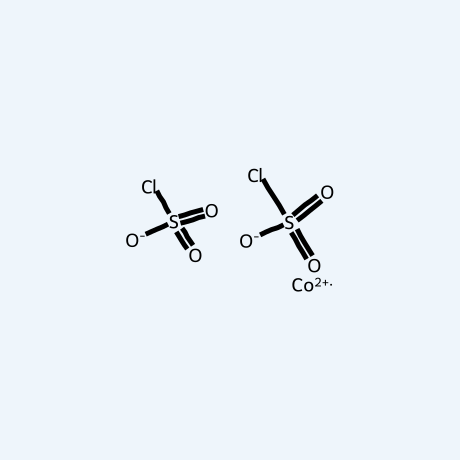 O=S(=O)([O-])Cl.O=S(=O)([O-])Cl.[Co+2]